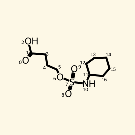 O=C(O)CCCOS(=O)(=O)NC1CCCCC1